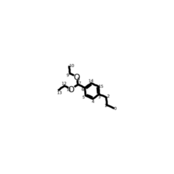 CCCc1ccc(C(OCC)OCC)cc1